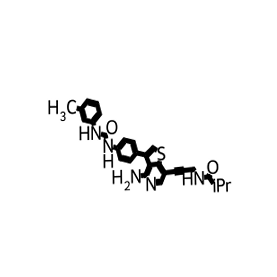 Cc1cccc(NC(=O)Nc2ccc(-c3csc4c(C#CCNC(=O)C(C)C)cnc(N)c34)cc2)c1